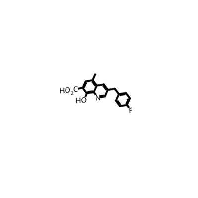 Cc1cc(C(=O)O)c(O)c2ncc(Cc3ccc(F)cc3)cc12